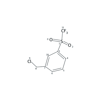 O=S(=O)(c1cccc(CCl)c1)C(F)(F)F